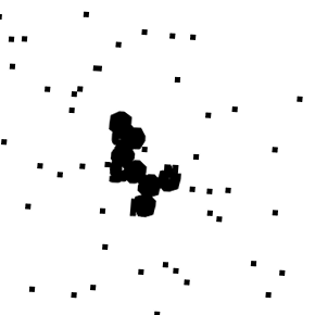 c1cncc(-c2cc(-c3cccnc3)cc(-c3ccc4c(c3)CSCc3ccc(-c5cccc6c5oc5ccccc56)cc3-4)c2)c1